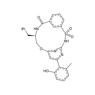 Cc1cccc(O)c1-c1cc2nc(n1)NS(=O)(=O)c1cccc(c1)C(=O)N[C@H](CC(C)C)CO2